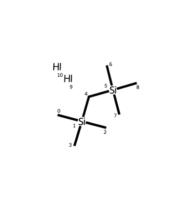 C[Si](C)(C)C[Si](C)(C)C.I.I